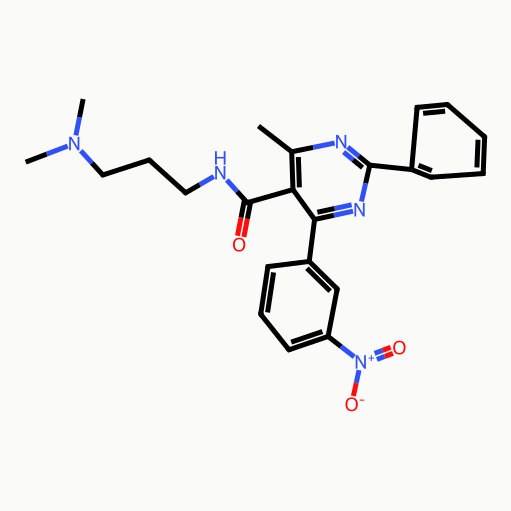 Cc1nc(-c2ccccc2)nc(-c2cccc([N+](=O)[O-])c2)c1C(=O)NCCCN(C)C